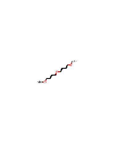 CCCOCCCCOCCCCOCCC